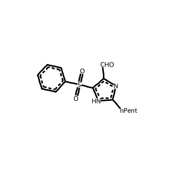 CCCCCc1nc(C=O)c(S(=O)(=O)c2ccccc2)[nH]1